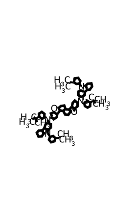 CC(C)c1cccc(-n2c3ccccc3c3cc(N(c4cccc(C(C)(C)C)c4)c4ccc5c(c4)oc4ccc6c(ccc7oc8cc(N(c9cccc(C(C)(C)C)c9)c9ccc%10c(c9)c9ccccc9n%10-c9cccc(C(C)C)c9)ccc8c76)c45)ccc32)c1